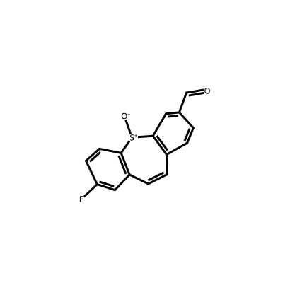 O=Cc1ccc2c(c1)[S+]([O-])c1ccc(F)cc1C=C2